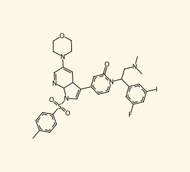 Cc1ccc(S(=O)(=O)N2C=C(c3ccn(C(CN(C)C)c4cc(F)cc(I)c4)c(=O)c3)C3C=C(N4CCOCC4)C=NC32)cc1